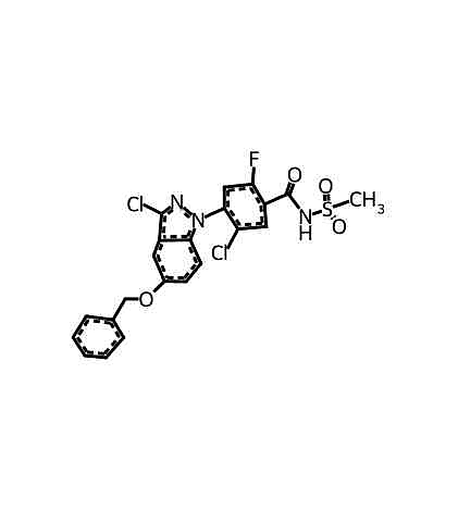 CS(=O)(=O)NC(=O)c1cc(Cl)c(-n2nc(Cl)c3cc(OCc4ccccc4)ccc32)cc1F